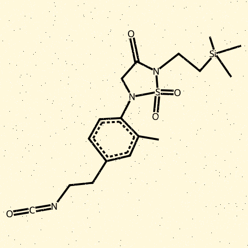 Cc1cc(CCN=C=O)ccc1N1CC(=O)N(CC[Si](C)(C)C)S1(=O)=O